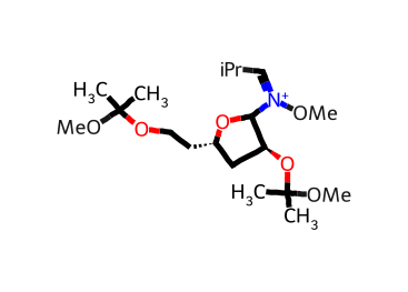 CO/[N+](=C/C(C)C)C1O[C@@H](CCOC(C)(C)OC)C[C@@H]1OC(C)(C)OC